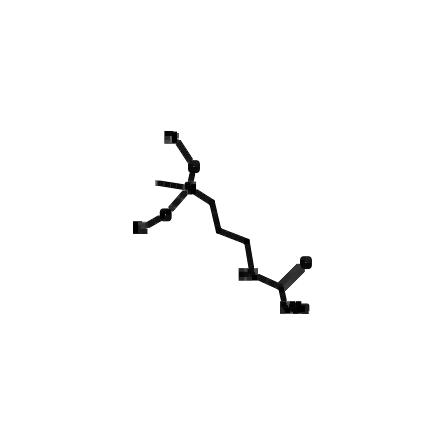 CCO[Si](C)(CCCNC(=O)NC)OCC